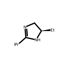 CC[C@@H]1CN=C(C(C)C)N1